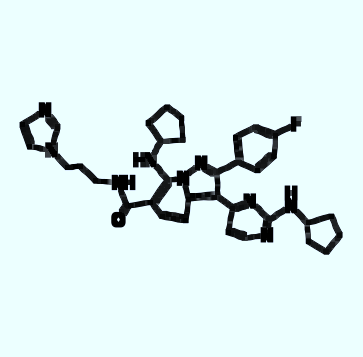 O=C(NCCCn1ccnc1)c1ccc2c(-c3ccnc(NC4CCCC4)n3)c(-c3ccc(F)cc3)nn2c1NC1CCCC1